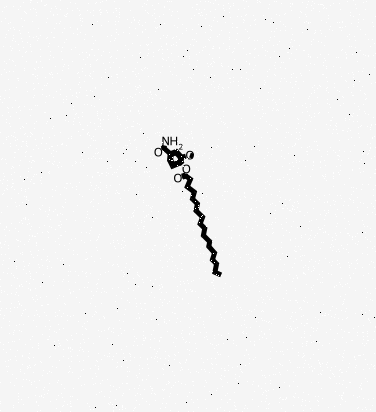 CCCCCCCCCCCCCCCCCC(=O)Oc1ccc(C(N)=O)cc1OC